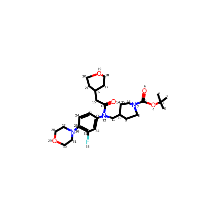 CC(C)(C)OC(=O)N1CCC(CN(C(=O)CC2CCOCC2)c2ccc(N3CCOCC3)c(F)c2)CC1